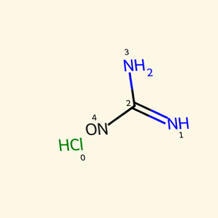 Cl.N=C(N)N=O